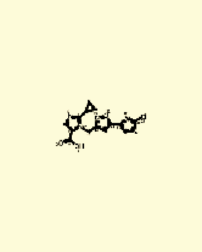 O=C(O)c1cnc(C2CC2)n1Cc1cc(-c2ccc(Cl)s2)on1